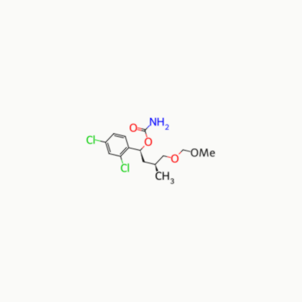 COCOC[C@@H](C)C[C@H](OC(N)=O)c1ccc(Cl)cc1Cl